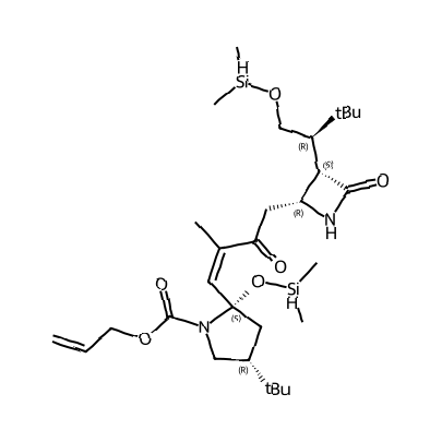 C=CCOC(=O)N1C[C@@H](C(C)(C)C)C[C@@]1(C=C(C)C(=O)C[C@H]1NC(=O)[C@H]1[C@@H](CO[SiH](C)C)C(C)(C)C)O[SiH](C)C